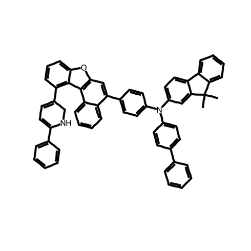 CC1(C)c2ccccc2-c2ccc(N(c3ccc(-c4ccccc4)cc3)c3ccc(-c4cc5oc6cccc(C7=CC=C(c8ccccc8)NC7)c6c5c5ccccc45)cc3)cc21